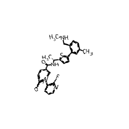 CNCc1ccc(C)cc1-c1ccc([C@@H](C)NC(=O)c2ccc(=O)n(-c3cccnc3F)c2)s1